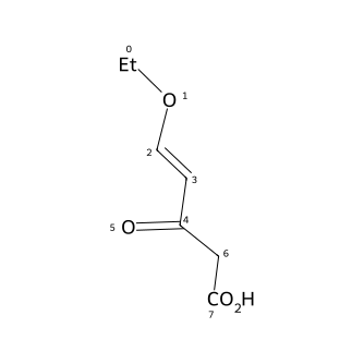 CCOC=CC(=O)CC(=O)O